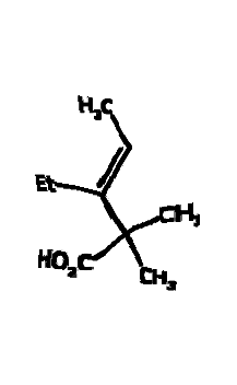 C/C=C(\CC)C(C)(C)C(=O)O